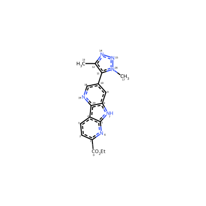 CCOC(=O)c1ccc2c(n1)[nH]c1cc(-c3c(C)nnn3C)cnc12